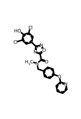 CN(Cc1ccc(Oc2ccccn2)cc1)C(=O)c1nc(-c2cc(Cl)c(O)c(Cl)c2)no1